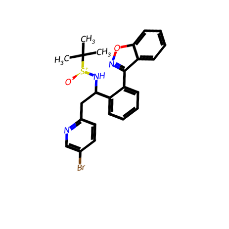 CC(C)(C)[S@+]([O-])NC(Cc1ccc(Br)cn1)c1ccccc1-c1noc2ccccc12